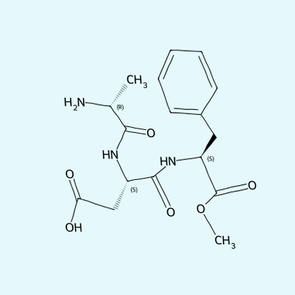 COC(=O)[C@H](Cc1ccccc1)NC(=O)[C@H](CC(=O)O)NC(=O)[C@@H](C)N